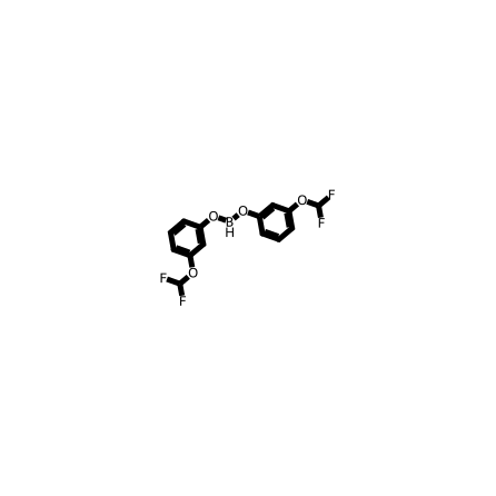 FC(F)Oc1cccc(OBOc2cccc(OC(F)F)c2)c1